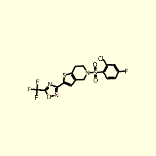 O=S(=O)(c1ccc(F)cc1Cl)N1CCc2sc(-c3noc(C(F)(F)F)n3)cc2C1